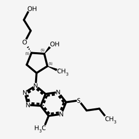 CCCSc1nc(C)c2nnn(C3C[C@H](OCCO)[C@@H](O)[C@H]3C)c2n1